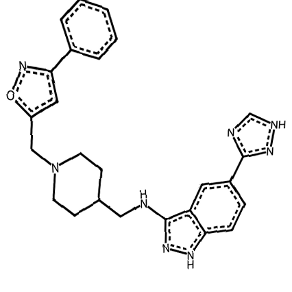 c1ccc(-c2cc(CN3CCC(CNc4n[nH]c5ccc(-c6nc[nH]n6)cc45)CC3)on2)cc1